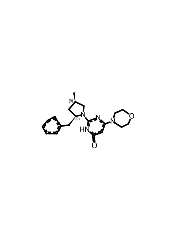 C[C@@H]1C[C@H](Cc2ccccc2)N(c2nc(N3CCOCC3)cc(=O)[nH]2)C1